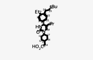 CCC1C=CC([C@@H]2NC(=O)N(C3CCC(CC(=O)O)CC3)C=C2C(C)C)=CC=C1CCC(C)(C)C